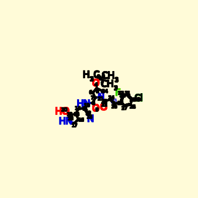 CC(C)(C)OC1CC(C(=O)NC(C#N)CC2CCNC2O)N(C(=O)/C=C/c2ccc(Cl)cc2F)C1